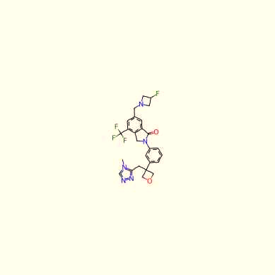 Cn1cnnc1CC1(c2cccc(N3Cc4c(cc(CN5CC(F)C5)cc4C(F)(F)F)C3=O)c2)COC1